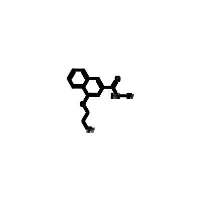 CC(C)CCOc1cc(C(=O)NC(C)C)cc2ccccc12